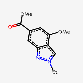 CCn1cc2c(OC)cc(C(=O)OC)cc2n1